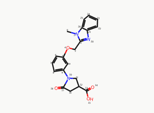 Cn1c(COc2cccc(N3CC(C(=O)O)CC3=O)c2)nc2ccccc21